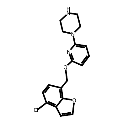 Clc1ccc(COc2cccc(N3CCNCC3)n2)c2occc12